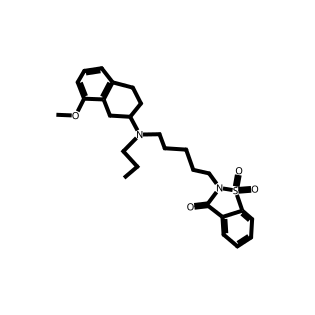 CCCN(CCCCCN1C(=O)c2ccccc2S1(=O)=O)C1CCc2cccc(OC)c2C1